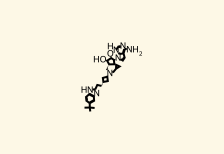 CC(C)(C)c1ccc2[nH]c(CC[C@H]3C[C@H](N(CC4CC4)C[C@H]4C[C@@H](n5ccc6c(N)ncnc65)[C@H](O)[C@@H]4O)C3)nc2c1